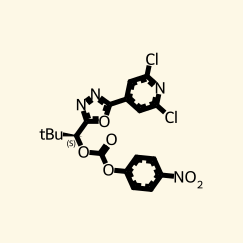 CC(C)(C)[C@H](OC(=O)Oc1ccc([N+](=O)[O-])cc1)c1nnc(-c2cc(Cl)nc(Cl)c2)o1